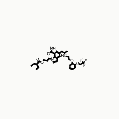 CCC(CC)C(=O)OCCCn1ccc2cc(CC(C)NCCOc3ccccc3OCC(F)(F)F)cc(C(N)=O)c21